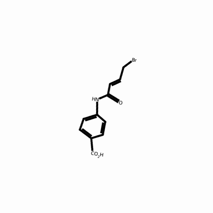 O=C(/C=C/CBr)Nc1ccc(C(=O)O)cc1